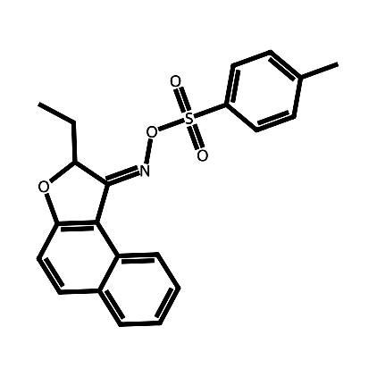 CCC1Oc2ccc3ccccc3c2/C1=N/OS(=O)(=O)c1ccc(C)cc1